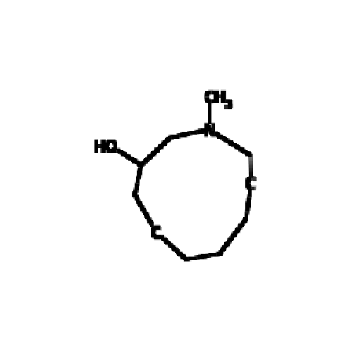 CN1CCCCCCCC(O)C1